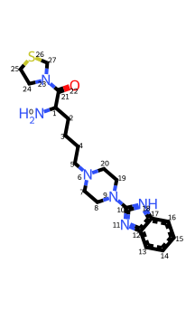 NC(CCCCN1CCN(c2nc3ccccc3[nH]2)CC1)C(=O)N1CCSC1